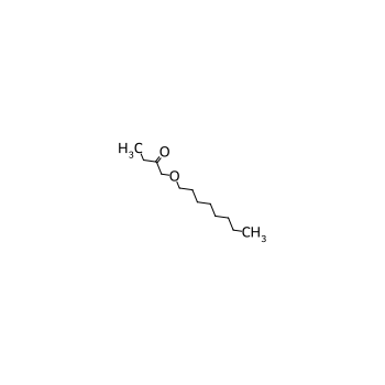 CCCCCCCCOCC(=O)CC